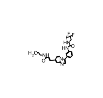 C=CCNC(=O)/C=C/c1ccn2c(-c3cccc(NC(=O)NCC(F)(F)F)c3)cnc2c1